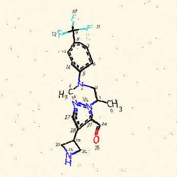 CC(CN(C)c1ccc(C(F)(F)F)cc1)n1ncc(C2CNC2)c1C=O